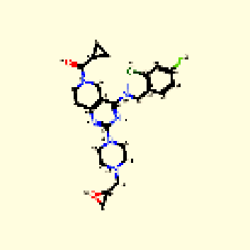 O=C(C1CC1)N1CCc2nc(N3CCN(CC4CO4)CC3)nc(NCc3ccc(F)cc3Cl)c2C1